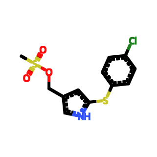 CS(=O)(=O)OCc1c[nH]c(Sc2ccc(Cl)cc2)c1